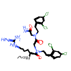 CC(=O)NC(CCCNC(=N)N)C(=O)N(CCc1ccc(Cl)cc1Cl)CC(=O)N(CCc1ccc(Cl)cc1Cl)CC(N)=O